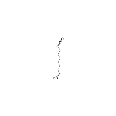 N=[C]CCCCCC[C]=C=O